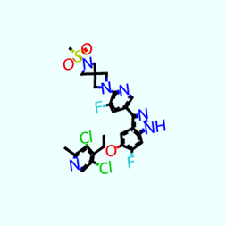 Cc1ncc(Cl)c(C(C)Oc2cc3c(-c4cnc(N5CC6(C5)CN(S(C)(=O)=O)C6)c(F)c4)n[nH]c3cc2F)c1Cl